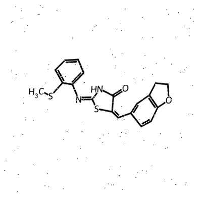 CSc1ccccc1N=C1NC(=O)C(=Cc2ccc3c(c2)CCO3)S1